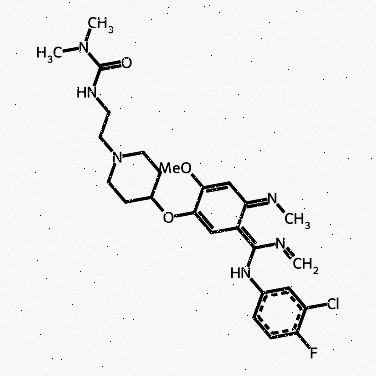 C=N/C(Nc1ccc(F)c(Cl)c1)=C1/C=C(OC2CCN(CCNC(=O)N(C)C)CC2)C(OC)=C/C1=N/C